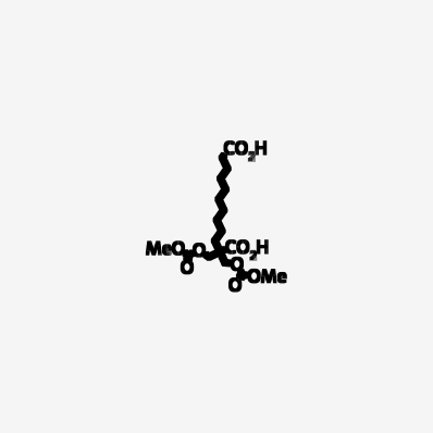 COC(=O)OCC(CCCCCCCCCC(=O)O)(COC(=O)OC)C(=O)O